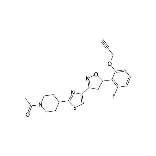 C#CCOc1cccc(F)c1C1CC(c2csc(C3CCN(C(C)=O)CC3)n2)=NO1